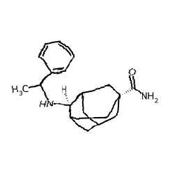 CC(N[C@H]1C2CC3CC1C[C@](C(N)=O)(C3)C2)c1ccccc1